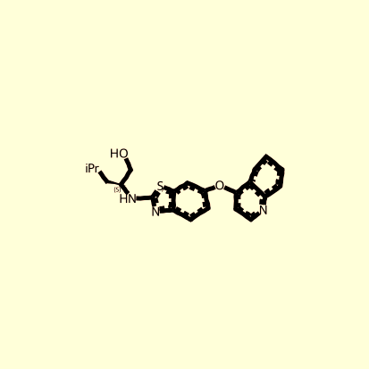 CC(C)C[C@@H](CO)Nc1nc2ccc(Oc3ccnc4ccccc34)cc2s1